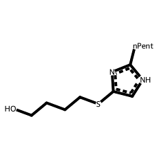 CCCCCc1nc(SCCCCO)c[nH]1